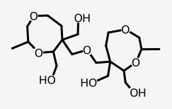 CC1COCCC(CO)(COCC2(CO)CCOCC(C)OC2CO)C(CO)O1